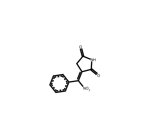 O=C1CC(=C(c2ccccc2)[N+](=O)[O-])C(=O)N1